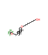 C[C@H](CCCOC(C(F)F)(C(F)F)C(F)F)[C@H]1CC[C@H]2[C@@H]3CC[C@@H]4C[C@H](OCCCCCCCCCCCCCCO)CC[C@]4(C)[C@H]3CC[C@]12C